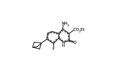 CCOC(=O)c1c(N)c2ccc(C34CC(C3)C4)c(F)c2[nH]c1=O